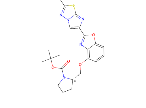 Cc1nn2cc(-c3nc4c(OC[C@@H]5CCCN5C(=O)OC(C)(C)C)cccc4o3)nc2s1